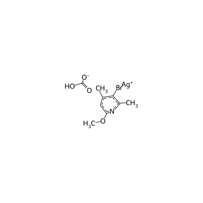 COc1cc(C)c(Br)c(C)n1.O=C([O-])O.[Ag+]